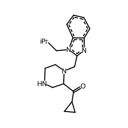 CC(C)Cn1c(CN2CCNCC2C(=O)C2CC2)nc2ccccc21